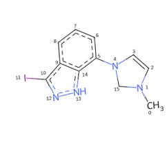 CN1C=CN(c2cccc3c(I)n[nH]c23)C1